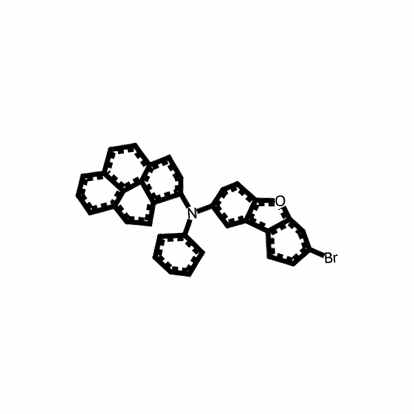 Brc1ccc2c(c1)oc1ccc(N(c3ccccc3)c3ccc4ccc5cccc6ccc3c4c56)cc12